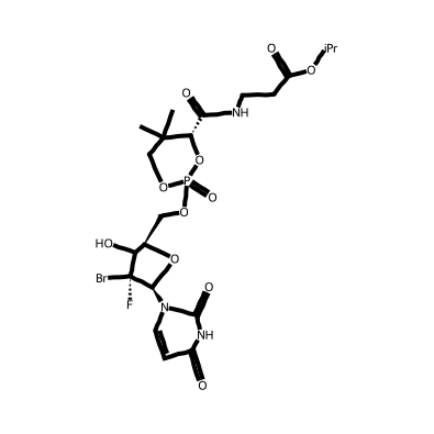 CC(C)OC(=O)CCNC(=O)[C@@H]1OP(=O)(OC[C@H]2O[C@@H](n3ccc(=O)[nH]c3=O)[C@@](F)(Br)C2O)OCC1(C)C